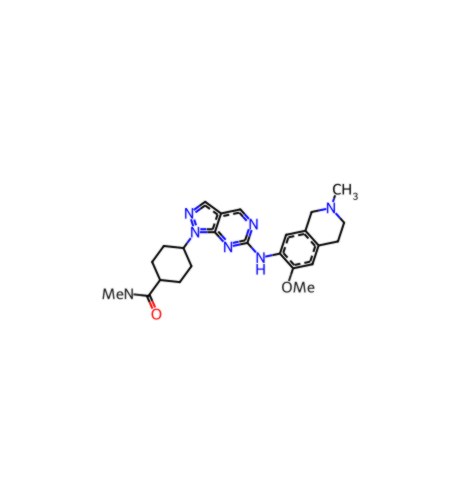 CNC(=O)C1CCC(n2ncc3cnc(Nc4cc5c(cc4OC)CCN(C)C5)nc32)CC1